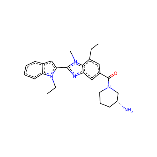 CCc1cc(C(=O)N2CCC[C@@H](N)C2)cc2nc(-c3cc4ccccc4n3CC)n(C)c12